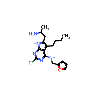 CCCCc1c(CC(C)N)[nH]c2nc(Cl)nc(NCc3ccco3)c12